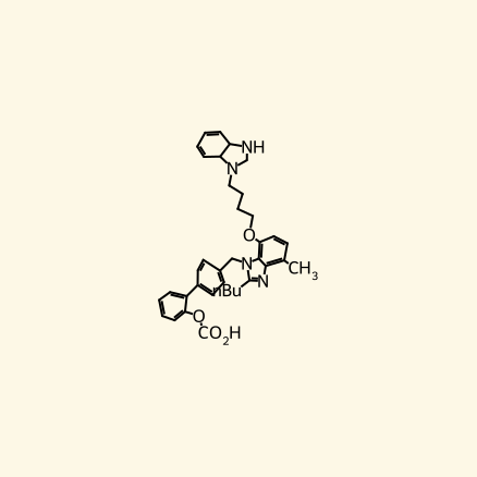 CCCCc1nc2c(C)ccc(OCCCCN3CNC4C=CC=CC43)c2n1Cc1ccc(-c2ccccc2OC(=O)O)cc1